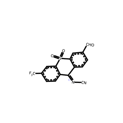 N#C/N=C1\c2ccc(C=O)cc2S(=O)(=O)c2cc(C(F)(F)F)ccc21